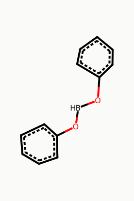 B(Oc1ccccc1)Oc1ccccc1